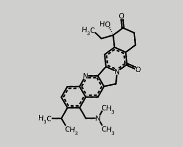 CC[C@@]1(O)C(=O)CCc2c1cc1n(c2=O)Cc2cc3c(CN(C)C)c(C(C)C)ccc3nc2-1